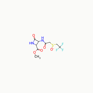 COC(=O)C1NC(=O)C1NC(=O)C[S+]([O-])CC(F)(F)F